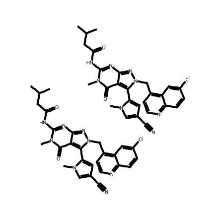 CC(C)CC(=O)Nc1nc2nn(Cc3ccnc4ccc(Cl)cc34)c(-c3cc(C#N)cn3C)c2c(=O)n1C.CC(C)CC(=O)Nc1nc2nn(Cc3ccnc4ccc(Cl)cc34)c(-c3cc(C#N)cn3C)c2c(=O)n1C